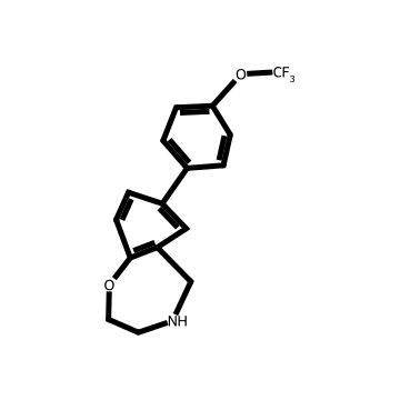 FC(F)(F)Oc1ccc(-c2ccc3c(c2)CNCCO3)cc1